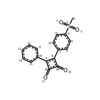 CS(=O)(=O)c1ccc(-c2c(-c3ccccc3)c(=O)c2=O)cc1